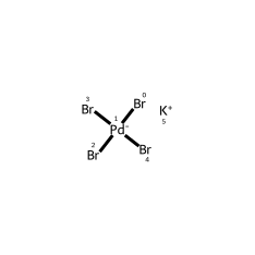 [Br][Pd-]([Br])([Br])[Br].[K+]